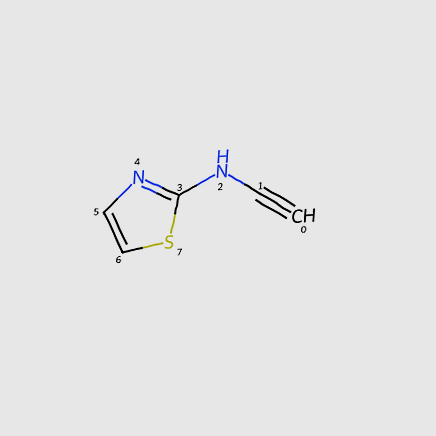 C#CNc1nccs1